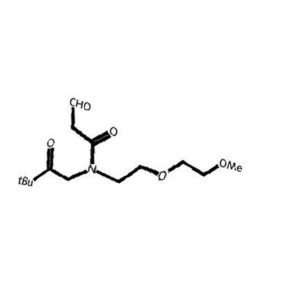 COCCOCCN(CC(=O)C(C)(C)C)C(=O)CC=O